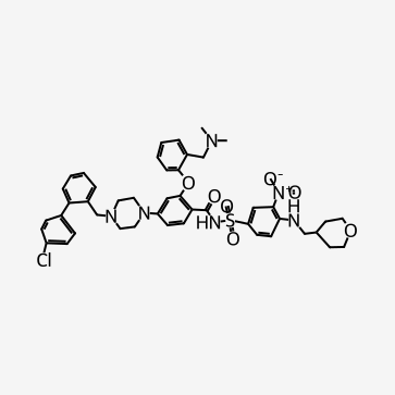 CN(C)Cc1ccccc1Oc1cc(N2CCN(Cc3ccccc3-c3ccc(Cl)cc3)CC2)ccc1C(=O)NS(=O)(=O)c1ccc(NCC2CCOCC2)c([N+](=O)[O-])c1